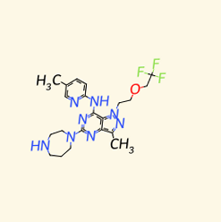 Cc1ccc(Nc2nc(N3CCCNCC3)nc3c(C)nn(CCOCC(F)(F)F)c23)nc1